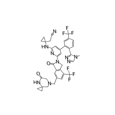 Cn1cnnc1-c1ccc(C(F)(F)F)cc1-c1cc(NC2(CC#N)CC2)nc(N2Cc3c(cc(CN4CC(=O)NC5(CC5)C4)cc3C(F)(F)F)C2=O)c1